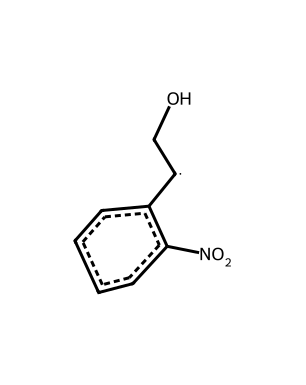 O=[N+]([O-])c1ccccc1[CH]CO